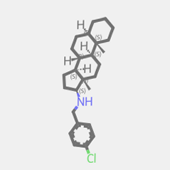 C[C@]12CCCC[C@@H]1CC[C@@H]1[C@@H]2CC[C@]2(C)[C@@H](NCc3ccc(Cl)cc3)CC[C@@H]12